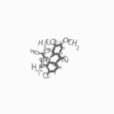 COc1cc2c(=O)c3ccc(Cl)c(N(C)C)c3n(CC(=O)O)c2cc1OC